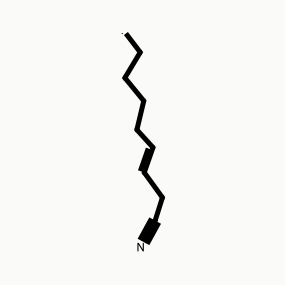 [CH2]CCCCC=CCC#N